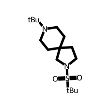 CC(C)(C)N1CCC2(CC1)CCN(S(=O)(=O)C(C)(C)C)C2